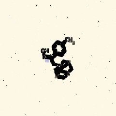 Cc1ccc(/C(C[N+]23CN4CN(CN(C4)C2)C3)=N\O)cc1